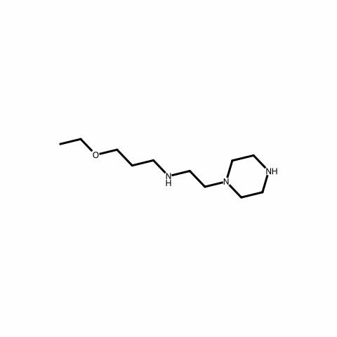 CCOCCCNCCN1CCNCC1